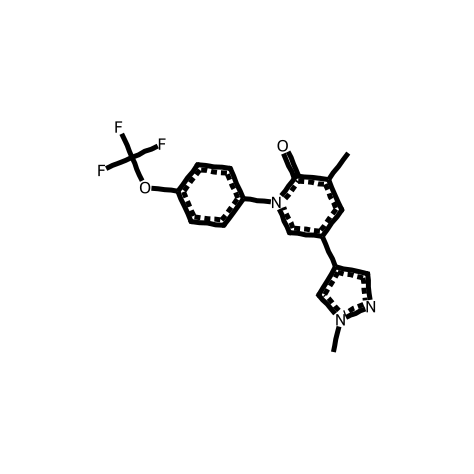 Cc1cc(-c2cnn(C)c2)cn(-c2ccc(OC(F)(F)F)cc2)c1=O